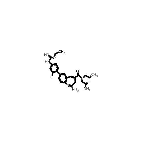 CCCN(CC(N)=O)C(=O)C1=Cc2cc(-c3ccc(NC(=N)OCC)cc3Cl)ccc2N=C(N)C1